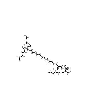 CCCCCCCC(CC)P(=O)(O)OCC(O)COCCOCCOCCOCCOP(=O)(OCCCC)C(C)CCCCC